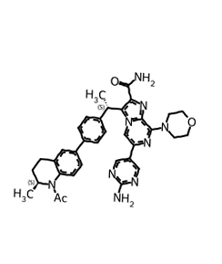 CC(=O)N1c2ccc(-c3ccc([C@H](C)c4c(C(N)=O)nc5c(N6CCOCC6)nc(-c6cnc(N)nc6)cn45)cc3)cc2CC[C@@H]1C